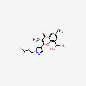 Cc1cc([C@@H](C)O)c2oc(-c3cnn(CCC(F)F)c3)c(C)c(=O)c2c1